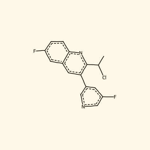 CC(Cl)c1nc2ccc(F)cc2cc1-c1cncc(F)c1